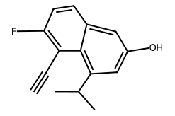 C#Cc1c(F)ccc2cc(O)cc(C(C)C)c12